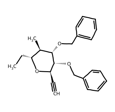 C#C[C@H]1O[C@H](CC)[C@@H](C)[C@H](OCc2ccccc2)[C@@H]1OCc1ccccc1